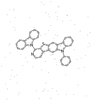 c1ccc(-n2c3ccccc3c3cc4sc5c(-n6c7ccccc7c7ccccc76)nccc5c4cc32)cc1